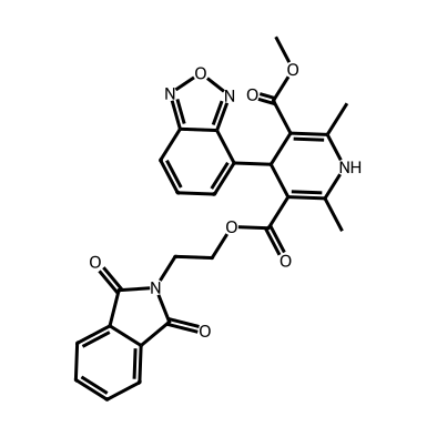 COC(=O)C1=C(C)NC(C)=C(C(=O)OCCN2C(=O)c3ccccc3C2=O)C1c1cccc2nonc12